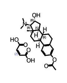 CC(=O)Oc1ccc2c(c1)CC[C@@H]1[C@@H]2CC[C@]2(C)[C@@H](N(C)C)[C@H](O)C[C@@H]12.O=C(O)/C=C\C(=O)O